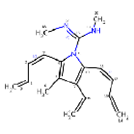 C=C/C=C\c1c(C)c(C=C)c(/C=C\C=C)n1/C(=N\C)NC